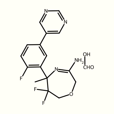 CC1(c2cc(-c3cncnc3)ccc2F)N=C(N)COCC1(F)F.O=CO